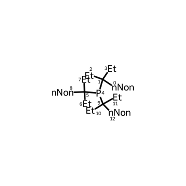 CCCCCCCCCC(CC)(CC)P(C(CC)(CC)CCCCCCCCC)C(CC)(CC)CCCCCCCCC